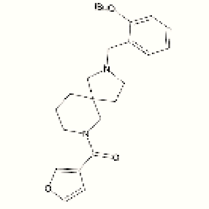 CC(C)COc1ccccc1CN1CCC2(CCCN(C(=O)c3ccoc3)C2)C1